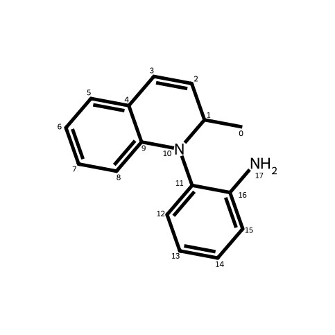 CC1C=Cc2ccccc2N1c1ccccc1N